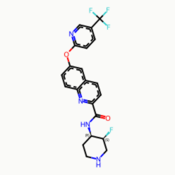 O=C(N[C@@H]1CCNC[C@@H]1F)c1ccc2cc(Oc3ccc(C(F)(F)F)cn3)ccc2n1